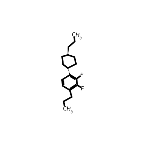 CCCc1ccc([C@H]2CC[C@H](CCC)CC2)c(F)c1F